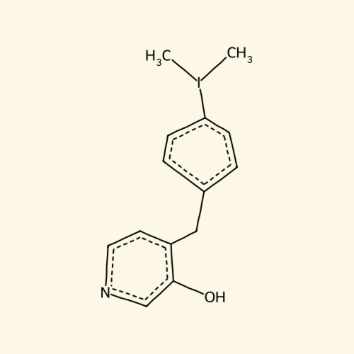 CI(C)c1ccc(Cc2ccncc2O)cc1